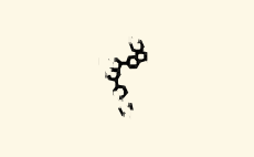 CN1CCN(c2ccc(-c3cnc4[nH]cc(-c5ccc6c(c5)C5(CCNCC5)CC6=O)c4c3)cn2)CC1